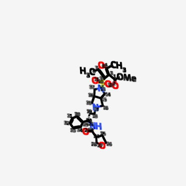 COC(=O)c1c(C)oc(C)c1S(=O)(=O)N1CC2CN(CC[C@H](NC(=O)C3CCOC3)c3ccccc3)CC2C1